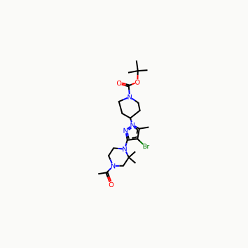 CC(=O)N1CCN(c2nn(C3CCN(C(=O)OC(C)(C)C)CC3)c(C)c2Br)C(C)(C)C1